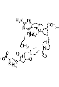 CCCCNc1nc(N)nc2cn(Cc3c(OC)cc(CN4CCN(C(=O)C5CCC(CN6C(=O)CC(SC[C@H](N)C(=O)O)C6=O)CC5)CC4)cc3OC)nc12